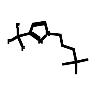 CC(C)(C)CCCn1ccc(C(F)(F)F)n1